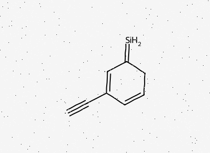 [C]#CC1=[C]C(=[SiH2])CC=C1